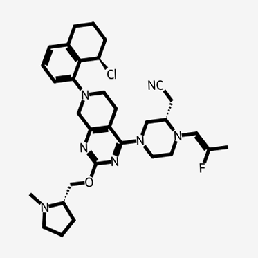 CC(F)=CN1CCN(c2nc(OC[C@@H]3CCCN3C)nc3c2CCN(c2cccc4c2[C@H](Cl)CCC4)C3)C[C@@H]1CC#N